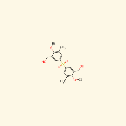 CCOc1c(C)cc(S(=O)(=O)c2cc(C)c(OCC)c(CO)c2)cc1CO